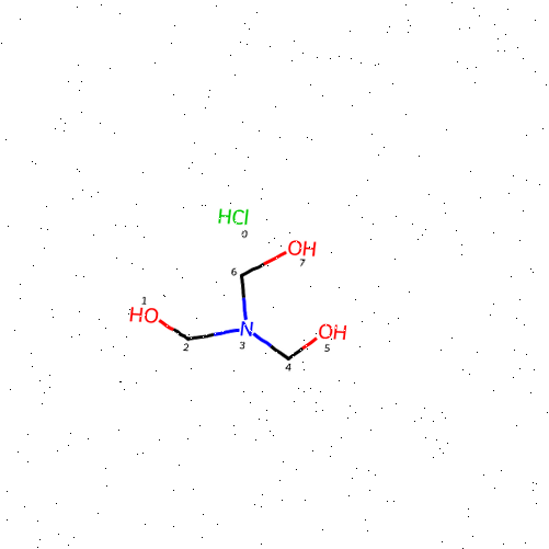 Cl.OCN(CO)CO